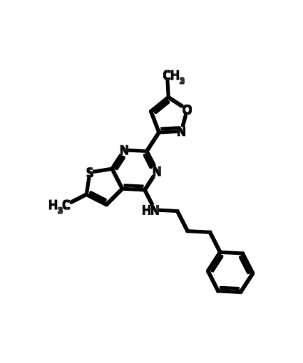 Cc1cc(-c2nc(NCCCc3ccccc3)c3cc(C)sc3n2)no1